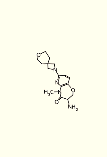 CN1C(=O)C(N)COc2ccc(N3CC4(CCOCC4)C3)nc21